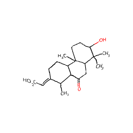 CC1/C(=C/C(=O)O)CCC2C1C(=O)CC1C(C)(C)C(O)CCC21C